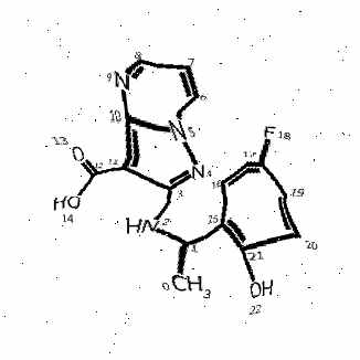 CC(Nc1nn2cccnc2c1C(=O)O)c1cc(F)ccc1O